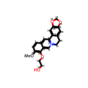 COc1ccc2cc3[n+](cc2c1OCCO)CCc1cc2c(cc1-3)OCO2